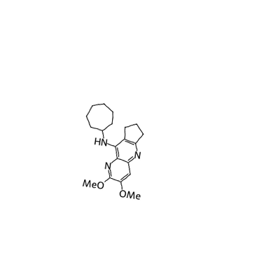 COc1cc2nc3c(c(NC4CCCCCC4)c2nc1OC)CCC3